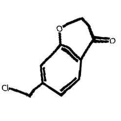 O=C1COc2cc(CCl)ccc21